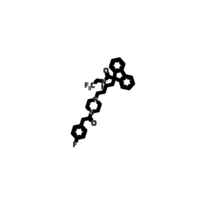 O=C(Cc1ccc(F)cc1)N1CCN(CCCCC2(C(=O)NCC(F)(F)F)c3ccccc3-c3ccccc32)CC1